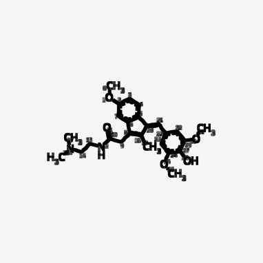 COc1ccc2c(c1)C(CC(=O)NCCN(C)C)=C(C)C2=Cc1cc(OC)c(O)c(OC)c1